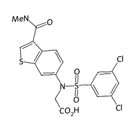 CNC(=O)c1csc2cc(N(CC(=O)O)S(=O)(=O)c3cc(Cl)cc(Cl)c3)ccc12